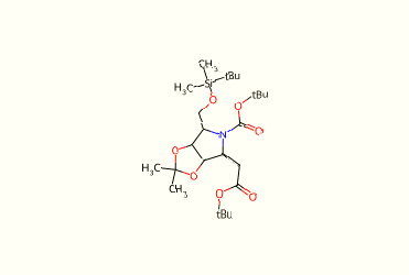 CC(C)(C)OC(=O)CC1C2OC(C)(C)OC2C(CO[Si](C)(C)C(C)(C)C)N1C(=O)OC(C)(C)C